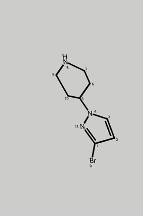 Brc1ccn(C2CCNCC2)n1